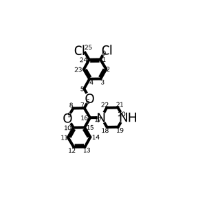 Clc1ccc(COC2COc3ccccc3C2N2CCNCC2)cc1Cl